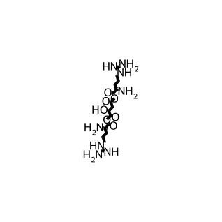 N=C(N)NCCC[C@H](N)C(=O)OC(=O)CC(O)C(=O)OC(=O)[C@@H](N)CCCNC(=N)N